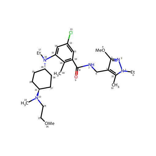 CCn1nc(OC)c(CNC(=O)c2cc(Cl)cc(N(CC)[C@H]3CC[C@H](N(C)CCOC)CC3)c2C)c1C